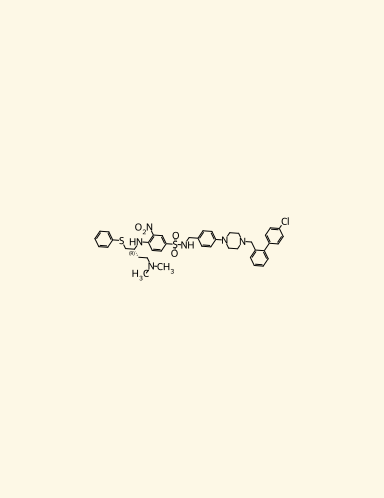 CN(C)CC[C@H](CSc1ccccc1)Nc1ccc(S(=O)(=O)NCc2ccc(N3CCN(Cc4ccccc4-c4ccc(Cl)cc4)CC3)cc2)cc1[N+](=O)[O-]